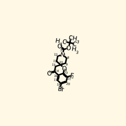 CC(C)(C)OC(=O)N1CCC2(CC1)CC(=O)c1cc(Br)cc(F)c1O2